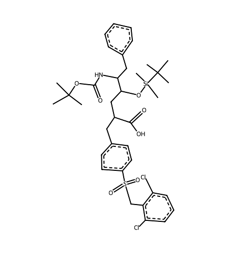 CC(C)(C)OC(=O)NC(Cc1ccccc1)C(CC(Cc1ccc(S(=O)(=O)Cc2c(Cl)cccc2Cl)cc1)C(=O)O)O[Si](C)(C)C(C)(C)C